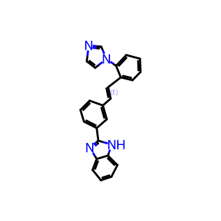 C(=C\c1ccccc1-n1ccnc1)/c1cccc(-c2nc3ccccc3[nH]2)c1